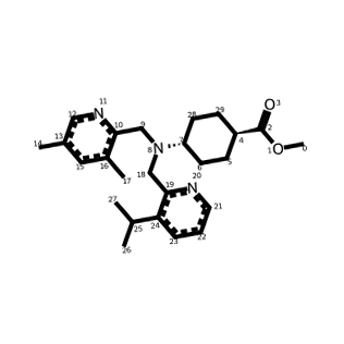 COC(=O)[C@H]1CC[C@H](N(Cc2ncc(C)cc2C)Cc2ncccc2C(C)C)CC1